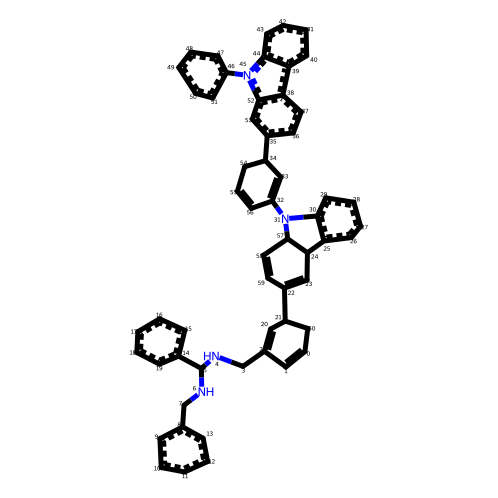 C1=CC(CNC(NCc2ccccc2)c2ccccc2)=CC(C2=CC3c4ccccc4N(C4=CC(c5ccc6c7ccccc7n(-c7ccccc7)c6c5)CC=C4)C3C=C2)C1